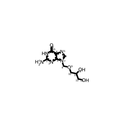 Nc1nc2c(ncn2COCC(O)CO)c(=O)[nH]1